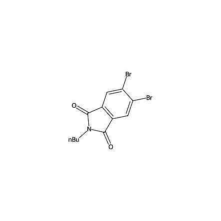 CCCCN1C(=O)c2cc(Br)c(Br)cc2C1=O